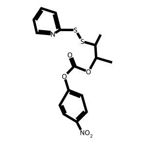 CC(OC(=O)Oc1ccc([N+](=O)[O-])cc1)C(C)SSc1ccccn1